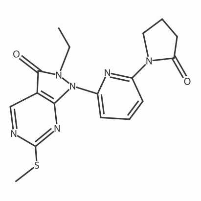 CCn1c(=O)c2cnc(SC)nc2n1-c1cccc(N2CCCC2=O)n1